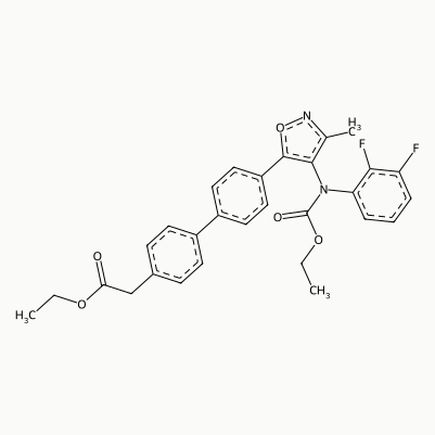 CCOC(=O)Cc1ccc(-c2ccc(-c3onc(C)c3N(C(=O)OCC)c3cccc(F)c3F)cc2)cc1